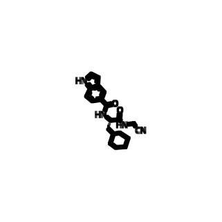 N#CCNC(=O)[C@H](CC1CCCCC1)NC(=O)c1ccc2[nH]ccc2c1